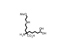 COCCNCCCC(N)(CCCCB(O)O)C(=O)O